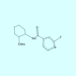 COC1CCCCC1NC(=O)c1ccnc(F)c1